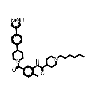 CCCCCCN1CCC(C(=O)Nc2cc(C(=O)N3CCC(c4ccc(-c5cn[nH]c5)cc4)CC3)ccc2C)CC1